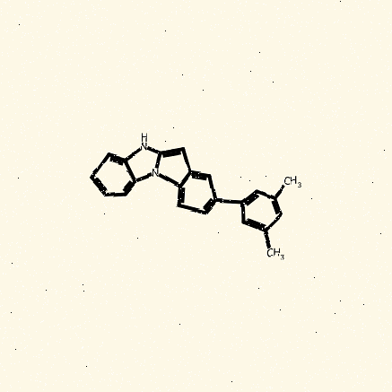 Cc1cc(C)cc(-c2ccc3c(c2)cc2[nH]c4ccccc4n23)c1